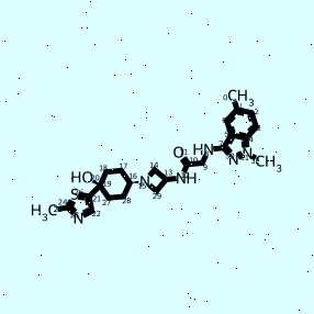 Cc1ccc2c(c1)c(NCC(=O)NC1CN([C@H]3CC[C@@](O)(c4cnc(C)s4)CC3)C1)nn2C